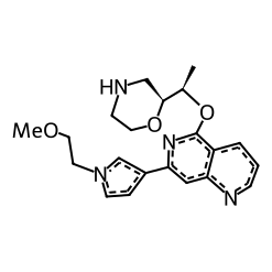 COCCn1ccc(-c2cc3ncccc3c(O[C@H](C)[C@@H]3CNCCO3)n2)c1